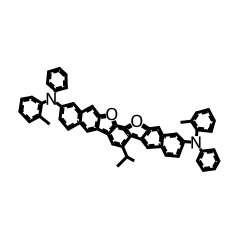 Cc1ccccc1N(c1ccccc1)c1ccc2cc3c(cc2c1)oc1c3cc(C(C)C)c2c3cc4ccc(N(c5ccccc5)c5ccccc5C)cc4cc3oc12